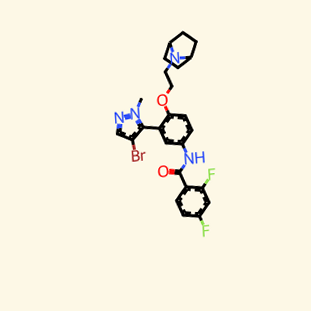 Cn1ncc(Br)c1-c1cc(NC(=O)c2ccc(F)cc2F)ccc1OCCN1C2CCC1CC2